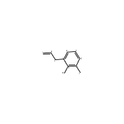 C=CCc1cccc(C)c1C